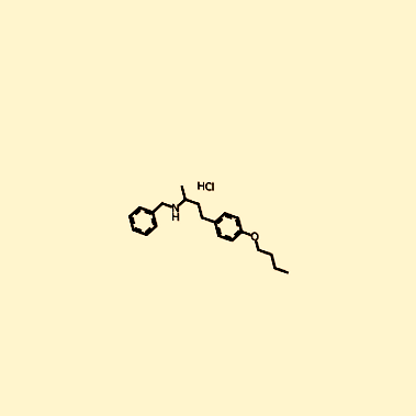 CCCCOc1ccc(CCC(C)NCc2ccccc2)cc1.Cl